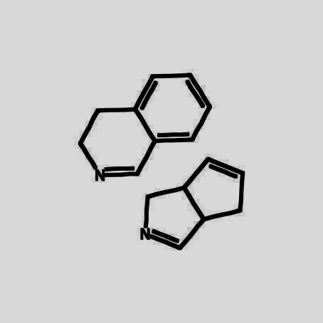 C1=CC2CN=CC2C1.C1=NCCc2ccccc21